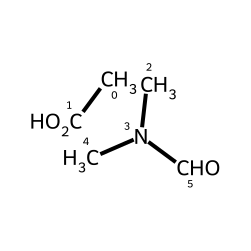 CC(=O)O.CN(C)C=O